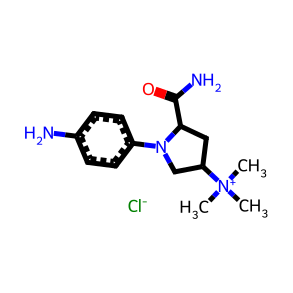 C[N+](C)(C)C1CC(C(N)=O)N(c2ccc(N)cc2)C1.[Cl-]